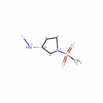 CS(=O)(=O)N1CC[C@@H](NI)C1